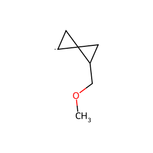 COCC1CC12[CH]C2